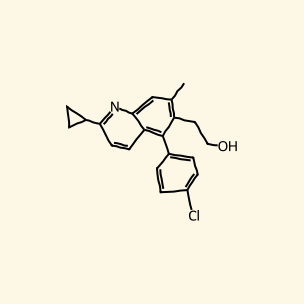 Cc1cc2nc(C3CC3)ccc2c(-c2ccc(Cl)cc2)c1CCO